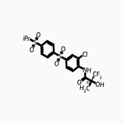 CC(C)S(=O)(=O)c1ccc(S(=O)(=O)c2ccc(NC(=O)[C@@](C)(O)C(F)(F)F)c(Cl)c2)cc1